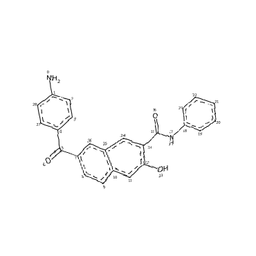 Nc1ccc(C(=O)c2ccc3cc(O)c(C(=O)Nc4ccccc4)cc3c2)cc1